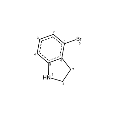 Brc1cccc2c1CCN2